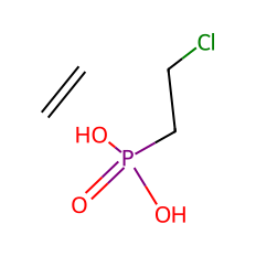 C=C.O=P(O)(O)CCCl